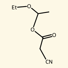 CCOC(C)OC(=O)CC#N